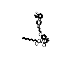 CCCCCCCCC(=O)OCN1C(=O)CC(C)(C)c2ccc(OCCCCN3CCN(c4cccc5sccc45)CC3)cc21